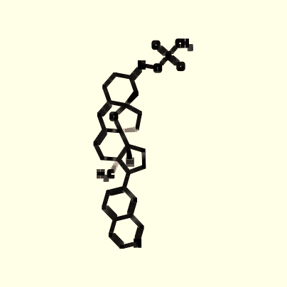 C[C@]12CC=C3C=C4CC/C(=N/OS(C)(=O)=O)C[C@]45CC[C@]3(O5)[C@@H]1CCC2c1ccc2ccncc2c1